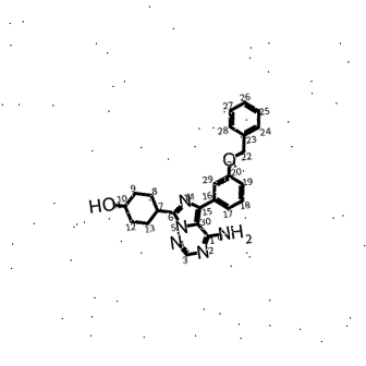 Nc1ncnn2c(C3CCC(O)CC3)nc(-c3cccc(OCc4ccccc4)c3)c12